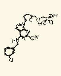 N#Cc1nc(NCc2cccc(Cl)c2)c2cnn([C@H]3CC[C@@H](COCP(=O)(O)O)O3)c2n1